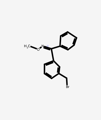 CO/N=C(/c1ccccc1)c1cccc(CBr)c1